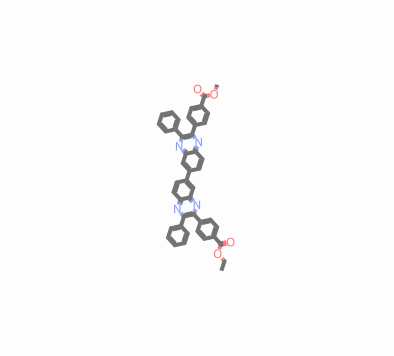 CCOC(=O)c1ccc(-c2nc3cc(-c4ccc5nc(-c6ccc(C(=O)OC)cc6)c(-c6ccccc6)nc5c4)ccc3nc2-c2ccccc2)cc1